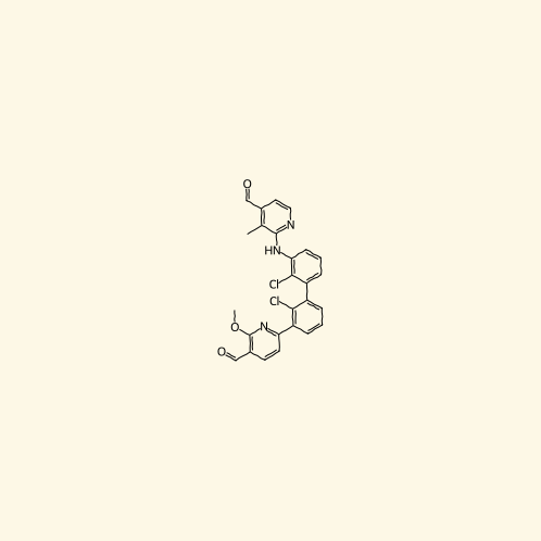 COc1nc(-c2cccc(-c3cccc(Nc4nccc(C=O)c4C)c3Cl)c2Cl)ccc1C=O